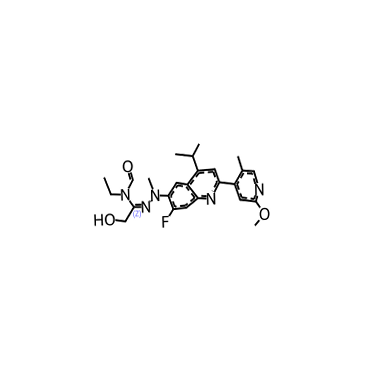 CCN(C=O)/C(CO)=N\N(C)c1cc2c(C(C)C)cc(-c3cc(OC)ncc3C)nc2cc1F